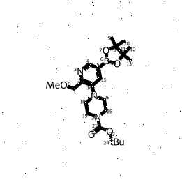 COCc1ncc(B2OC(C)(C)C(C)(C)O2)cc1N1CCN(C(=O)OC(C)(C)C)CC1